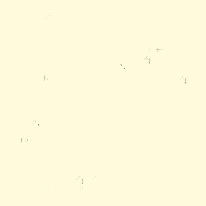 CON1c2ncnc3ccc(cc23)OCCNC(=O)C[N+]2(O)CCN(/C=C3\C=C(Cl)CCC31)CC2